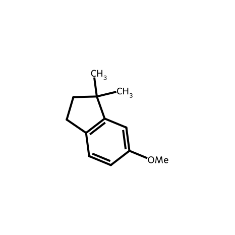 COc1ccc2c(c1)C(C)(C)CC2